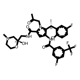 CC(=O)Cn1c(C(=O)NC[C@@]2(O)CN(C)CCO2)cc(NC(=O)c2cc(F)cc(C(F)(F)F)c2)c1[C@H](C)c1cc(F)ccc1Cl